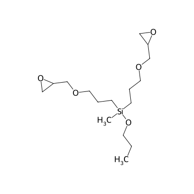 CCCO[Si](C)(CCCOCC1CO1)CCCOCC1CO1